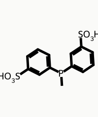 CP(c1cccc(S(=O)(=O)O)c1)c1cccc(S(=O)(=O)O)c1